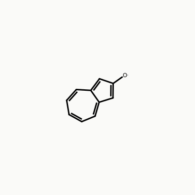 [O]c1cc2cccccc-2c1